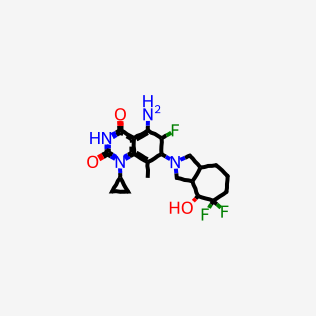 CC1=c2c(c(=O)[nH]c(=O)n2C2CC2)=C(N)C(F)C1N1CC2CCCC(F)(F)C(O)C2C1